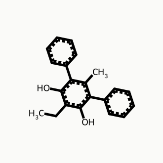 CCc1c(O)c(-c2ccccc2)c(C)c(-c2ccccc2)c1O